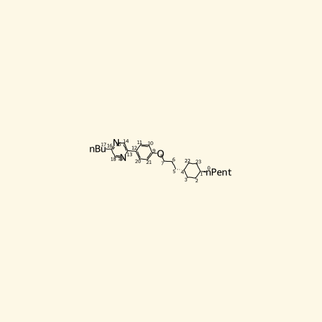 CCCCC[C@H]1CC[C@H](CCCOc2ccc(-c3cnc(CCCC)cn3)cc2)CC1